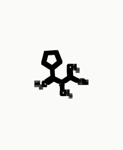 C=C(C1CCCC1)N(C)C(=C)C(C)(C)C